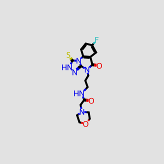 O=C(CN1CCOCC1)NCCCn1c(=O)c2cc(F)ccc2n2c(=S)[nH]nc12